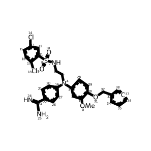 COc1cc(N(CCNS(=O)(=O)c2cc(Cl)ccc2Cl)c2ccc(C(=N)N)cc2)ccc1OCc1ccccc1